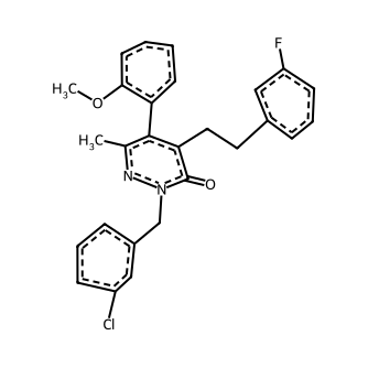 COc1ccccc1-c1c(C)nn(Cc2cccc(Cl)c2)c(=O)c1CCc1cccc(F)c1